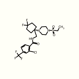 CCS(=O)(=O)N1CCN(C2(CNC(=O)c3ccc(C(F)(F)F)cc3Cl)CCC(F)(F)CC2)CC1